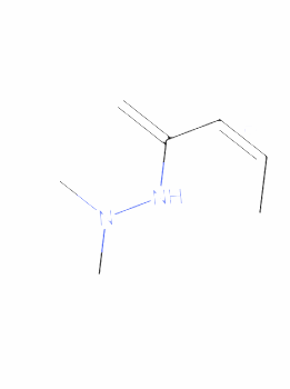 C=C(/C=C\C)NN(C)C